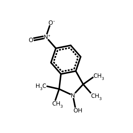 CC1(C)c2ccc([N+](=O)[O-])cc2C(C)(C)N1O